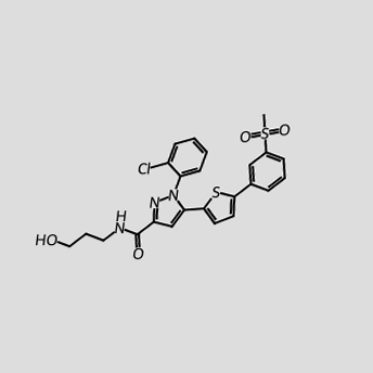 CS(=O)(=O)c1cccc(-c2ccc(-c3cc(C(=O)NCCCO)nn3-c3ccccc3Cl)s2)c1